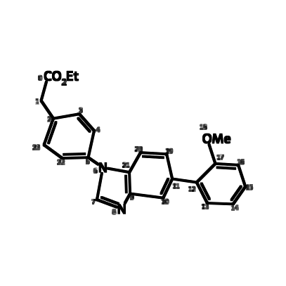 CCOC(=O)Cc1ccc(-n2cnc3cc(-c4ccccc4OC)ccc32)cc1